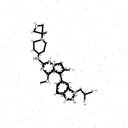 COc1nc(NC2CCN(C3(C)COC3)CC2)nn2cc(F)c(-c3ccc4nnn(CC(F)F)c4c3)c12